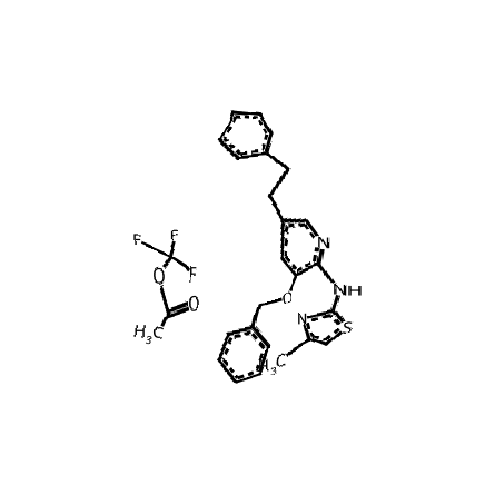 CC(=O)OC(F)(F)F.Cc1csc(Nc2ncc(CCc3ccccc3)cc2OCc2ccccc2)n1